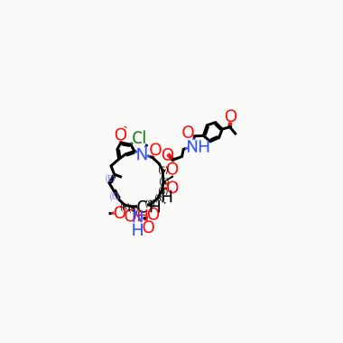 COc1cc2cc(c1Cl)N(C)C(=O)C[C@H](OC(=O)CCNC(=O)c1ccc(C(C)=O)cc1)[C@]1(C)O[C@H]1[C@H](C)[C@@H]1C[C@@](O)(NC(=O)O1)[C@H](OC)/C=C/C=C(\C)C2